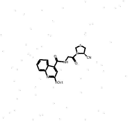 CCCCCCCCc1cc(C(=O)NCC(=O)N2CSC[C@H]2C#N)c2ccccc2n1